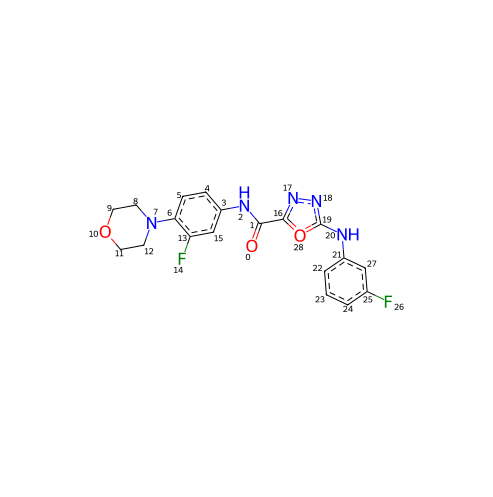 O=C(Nc1ccc(N2CCOCC2)c(F)c1)c1nnc(Nc2cccc(F)c2)o1